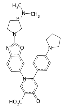 CN(C)[C@H]1CCN(c2nc3ccc(-n4cc(C(=O)O)c(=O)cc4-c4ccc(N5CCCC5)cc4)cc3o2)C1